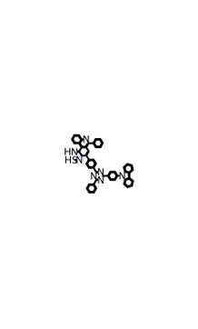 N=C1/C(=N\S)C(c2ccc(-c3nc(-c4ccccc4)nc(-c4ccc(-n5c6ccccc6c6ccccc65)cc4)n3)cc2)=Cc2c(-c3ccccc3)nc3ccccc3c21